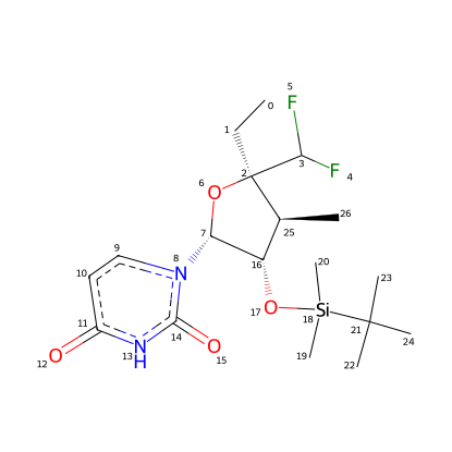 CC[C@@]1(C(F)F)O[C@@H](n2ccc(=O)[nH]c2=O)[C@@H](O[Si](C)(C)C(C)(C)C)[C@@H]1C